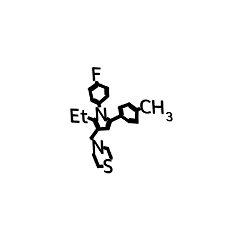 CCc1c(CN2CCSCC2)cc(-c2ccc(C)cc2)n1-c1ccc(F)cc1